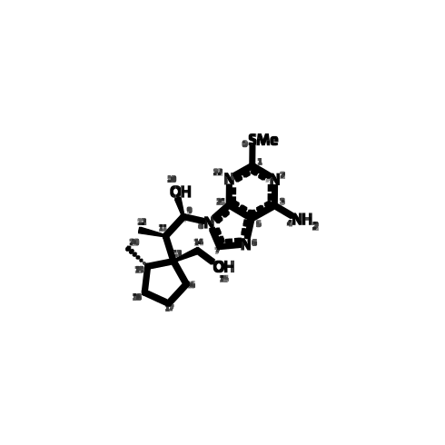 CSc1nc(N)c2ncn([C@H](O)[C@H](C)[C@]3(CO)CCC[C@@H]3C)c2n1